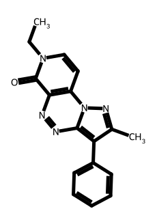 CCn1ccc2c(nnc3c(-c4ccccc4)c(C)nn32)c1=O